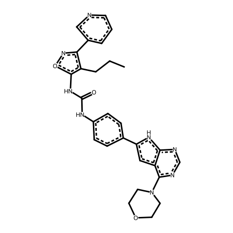 CCCc1c(-c2cccnc2)noc1NC(=O)Nc1ccc(-c2cc3c(N4CCOCC4)ncnc3[nH]2)cc1